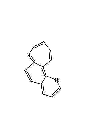 C1=CN=c2ccc3c(c2C=C1)NC=CC=3